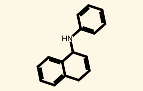 [CH]1C=CC(Nc2ccccc2)c2ccccc21